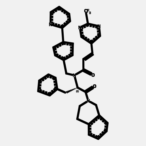 O=C([C@H](Cc1ccccc1)N(Cc1ccc(-c2ccccn2)cc1)C(=O)C=Cc1cnc(C(F)(F)F)nc1)N1CCc2ccccc2C1